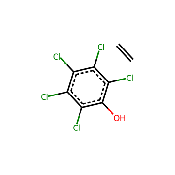 C=C.Oc1c(Cl)c(Cl)c(Cl)c(Cl)c1Cl